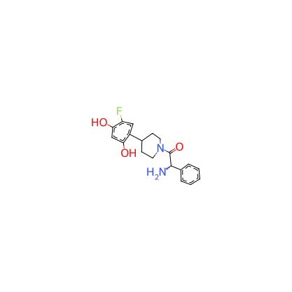 N[C@@H](C(=O)N1CCC(c2cc(F)c(O)cc2O)CC1)c1ccccc1